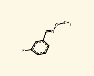 CO/N=C/c1cccc(F)c1